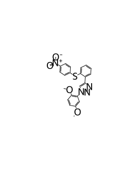 COc1ccc(OC)c(-n2cc(-c3ccccc3Sc3ccc([N+](=O)[O-])cc3)nn2)c1